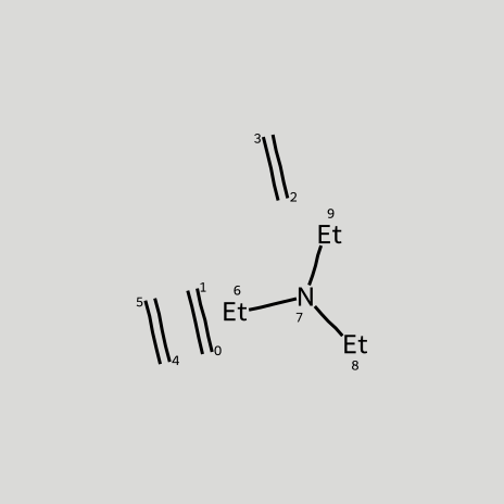 C=C.C=C.C=C.CCN(CC)CC